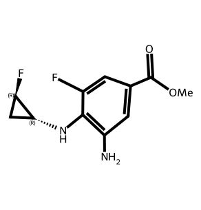 COC(=O)c1cc(N)c(N[C@@H]2C[C@H]2F)c(F)c1